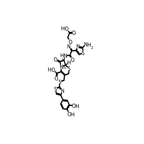 Nc1nc(C(=NOCC(=O)O)C(=O)N[C@@H]2C(=O)N3C(C(=O)O)=C(CSc4nc(-c5ccc(O)c(O)c5)cs4)CS[C@@H]23)cs1